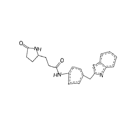 O=C(CCC1CCC(=O)N1)Nc1ccc(Cc2nc3ccccc3s2)cc1